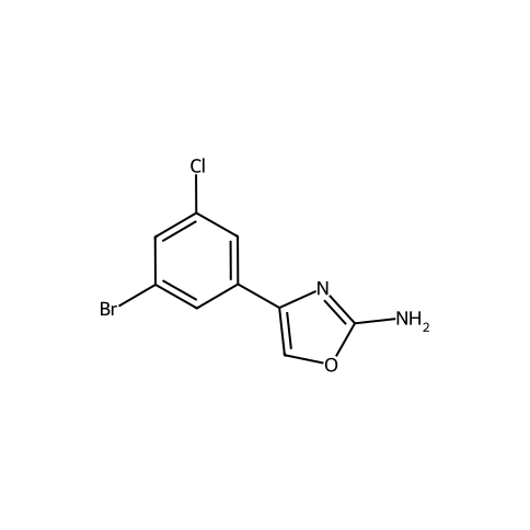 Nc1nc(-c2cc(Cl)cc(Br)c2)co1